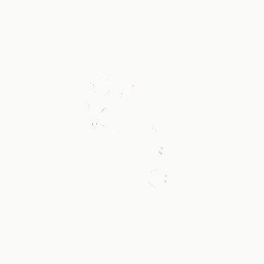 COc1ccc2ncc(C)c([C@@H](O)CCC3(CC(=O)O)CCN(CC#Cc4cc(F)cc(F)c4F)CC3)c2c1